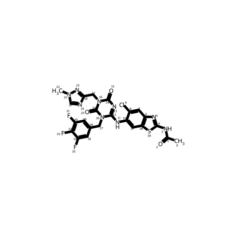 CC(=O)Nc1nc2cc(Cl)c(Nc3nc(=O)n(Cc4ncn(C)n4)c(=O)n3Cc3cc(F)c(F)c(F)c3)cc2s1